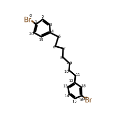 Brc1ccc(CCCC[CH]CCc2cccc(Br)c2)cc1